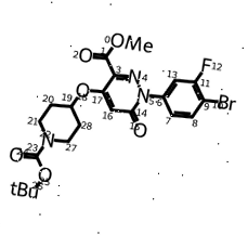 COC(=O)c1nn(-c2ccc(Br)c(F)c2)c(=O)cc1OC1CCN(C(=O)OC(C)(C)C)CC1